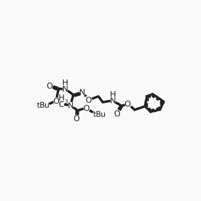 CN(C(=O)OC(C)(C)C)C(=NOCCNC(=O)OCc1ccccc1)NC(=O)OC(C)(C)C